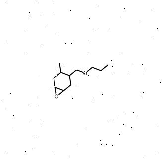 CCCOCC1CC2OC2CC1C